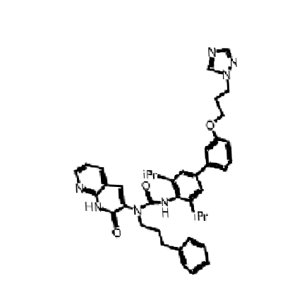 CC(C)c1cc(-c2cccc(OCCCn3cncn3)c2)cc(C(C)C)c1NC(=O)N(CCCc1ccccc1)c1cc2cccnc2[nH]c1=O